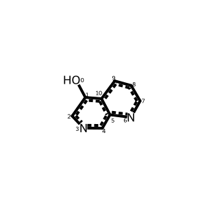 Oc1cncc2ncccc12